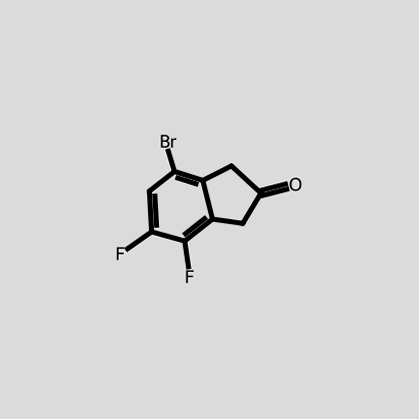 O=C1Cc2c(Br)cc(F)c(F)c2C1